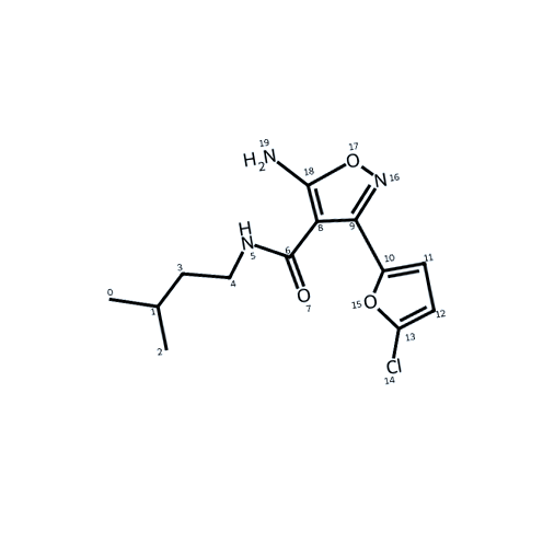 CC(C)CCNC(=O)c1c(-c2ccc(Cl)o2)noc1N